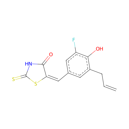 C=CCc1cc(C=C2SC(=S)NC2=O)cc(F)c1O